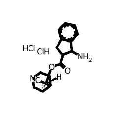 Cl.Cl.NC1c2ccccc2CC1C(=O)O[C@H]1CN2CCC1CC2